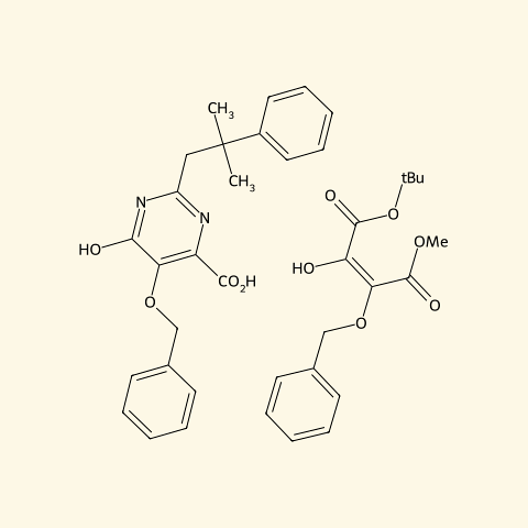 CC(C)(Cc1nc(O)c(OCc2ccccc2)c(C(=O)O)n1)c1ccccc1.COC(=O)C(OCc1ccccc1)=C(O)C(=O)OC(C)(C)C